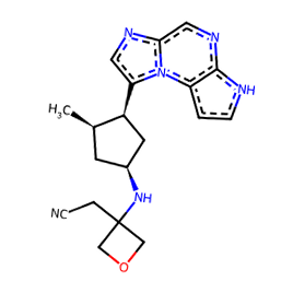 C[C@@H]1C[C@H](NC2(CC#N)COC2)C[C@@H]1c1cnc2cnc3[nH]ccc3n12